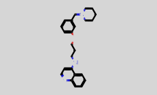 c1cc(CN2CCCCC2)cc(OCCCNc2ccnc3ccccc23)c1